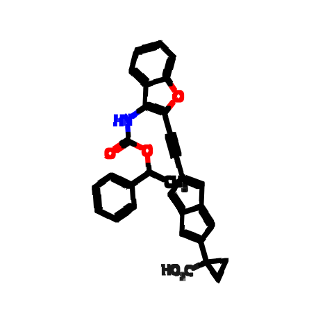 CC(OC(=O)Nc1c(C#CC2=CC3=CC(C4(C(=O)O)CC4)=CC3=C2)oc2ccccc12)c1ccccc1